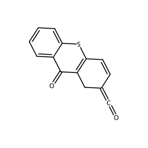 O=C=C1C=Cc2sc3ccccc3c(=O)c2C1